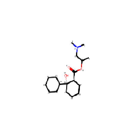 CC(CN(C)C)OC(=O)[C@H]1CCCC[C@@]1(O)C1CCCCC1